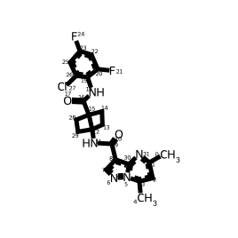 Cc1cc(C)n2ncc(C(=O)NC34CCC3(C(=O)Nc3c(F)cc(F)cc3Cl)CC4)c2n1